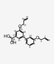 C=CCOc1cccc(-c2cc(OCC=C)cc(C(O)O)c2)c1